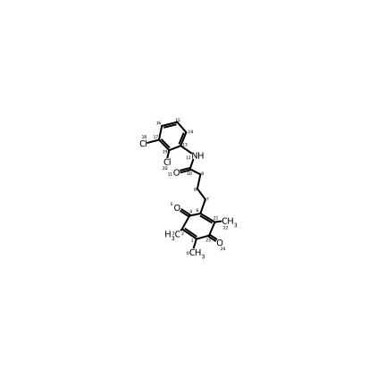 CC1=C(C)C(=O)C(CCCC(=O)Nc2cccc(Cl)c2Cl)=C(C)C1=O